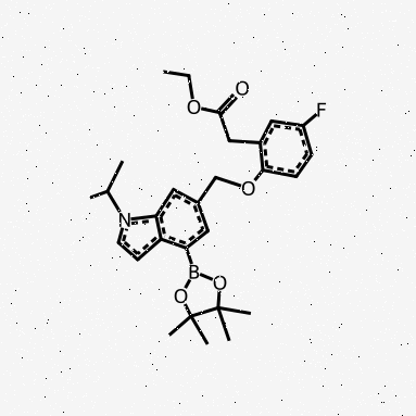 CCOC(=O)Cc1cc(F)ccc1OCc1cc(B2OC(C)(C)C(C)(C)O2)c2ccn(C(C)C)c2c1